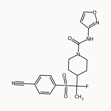 CC(F)(C1CCN(C(=O)Nc2ccon2)CC1)S(=O)(=O)c1ccc(C#N)cc1